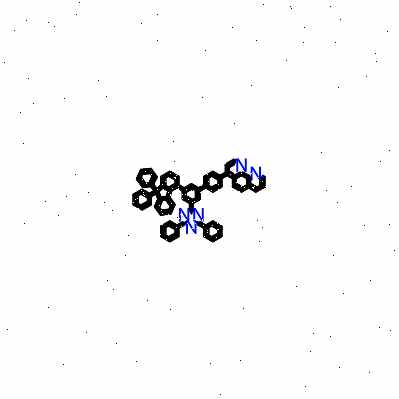 c1ccc(-c2nc(-c3ccccc3)nc(-c3cc(-c4ccc(-c5ccnc6c5ccc5cccnc56)cc4)cc(-c4cccc5c4-c4ccccc4C5(c4ccccc4)c4ccccc4)c3)n2)cc1